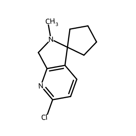 CN1Cc2nc(Cl)ccc2C12CCCC2